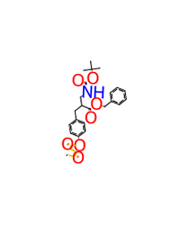 CC(C)(C)OC(=O)NCC(Cc1ccc(OS(C)(=O)=O)cc1)C(=O)OCc1ccccc1